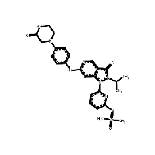 CC(C)n1c(=O)c2cnc(Nc3ccc(N4CCNC(=O)C4)cc3)nc2n1-c1cccc(N=S(C)(C)=O)n1